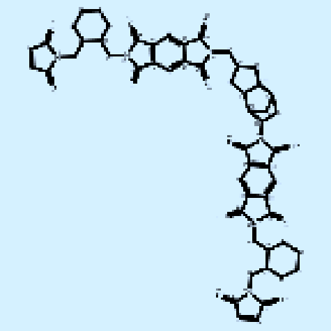 O=C1C=CC(=O)N1CC1CCCCC1Cn1c(=O)c2cc3c(=O)n(CC4CC5C6CC(C5C4)C(n4c(=O)c5cc7c(=O)n(CC8CCCCC8CN8C(=O)C=CC8=O)c(=O)c7cc5c4=O)C6)c(=O)c3cc2c1=O